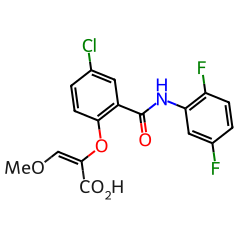 COC=C(Oc1ccc(Cl)cc1C(=O)Nc1cc(F)ccc1F)C(=O)O